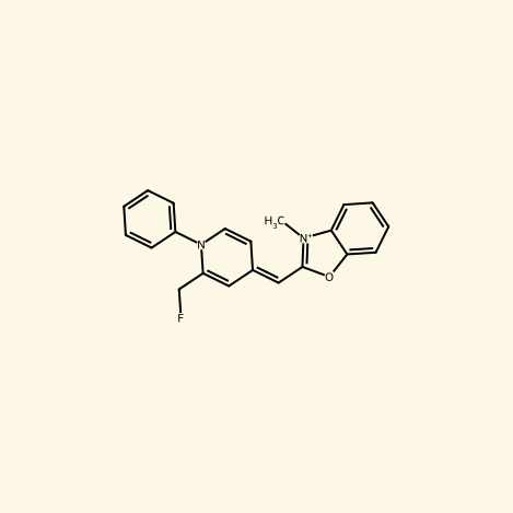 C[n+]1c(C=C2C=CN(c3ccccc3)C(CF)=C2)oc2ccccc21